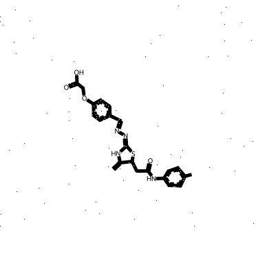 C=C1N/C(=N\N=C\c2ccc(OCC(=O)O)cc2)SC1CC(=O)Nc1ccc(C)cc1